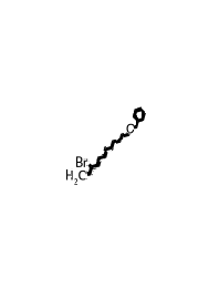 C=CC(Br)CCCCCCCCCOCc1ccccc1